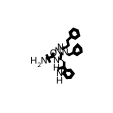 CC(C)(N)C(=O)N[C@H](Cc1c[nH]c2ccccc12)c1nnc(CCc2ccccc2)n1Cc1ccccc1